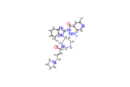 Cc1cc(C(=O)N(N)c2nc3cccc(C)c3n2[C@@H]2CCCCN(C(=O)/C=C/CN3CCCC3)C2)ccn1